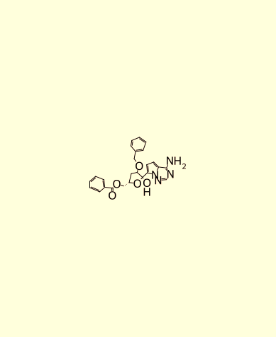 Nc1ncnn2c(C3(O)O[C@H](COC(=O)c4ccccc4)C[C@H]3OCc3ccccc3)ccc12